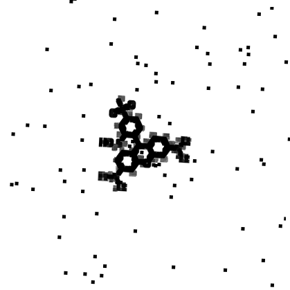 CCN(CC)c1ccc2c(-c3ccc(S(C)(=O)=O)cc3S(=O)(=O)O)c3ccc(=[N+](CC)CC)cc-3oc2c1